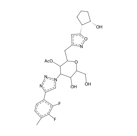 CC(=O)OC1C(Cc2cc([C@@H]3CCC[C@@H]3O)on2)OC(CO)C(O)C1n1cc(-c2ccc(C)c(F)c2F)nn1